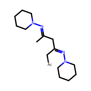 CC(=O)C/C(C/C(C)=N/N1CCCCC1)=N\N1CCCCC1